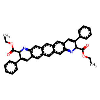 CCOC(=O)C1N=c2cc3cc4cc5c(cc4cc3cc2C=C1c1ccccc1)=NC(C(=O)OCC)C(c1ccccc1)=C5